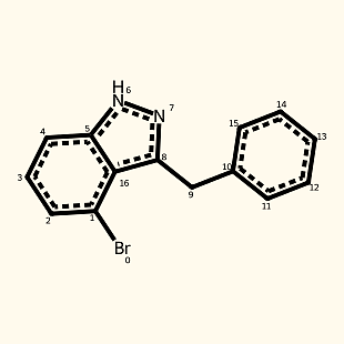 Brc1cccc2[nH]nc(Cc3ccccc3)c12